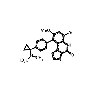 COc1cc(Br)c2[nH]c(=O)c3sccc3c2c1-c1ccc(C2(N(C)C(=O)O)CC2)cc1